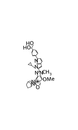 COc1cc(C(=O)N2CC3CCC2C3N)cc2nc(-c3cc4ccc(-c5ccc(C(O)CO)cc5)nc4n3CC3CC3)n(C)c12